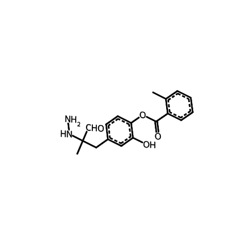 Cc1ccccc1C(=O)Oc1ccc(CC(C)(C=O)NN)cc1O